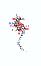 CCCCCC/C=C\CCCCCCCCCC(=O)NC1[C@H](O[C@H]2C(CO)O[C@H](OC3C(CO)O[C@@H](O[C@H]4C(CO)O[C@H](OC)[C@H](C)C4O)C(N)[C@H]3O)[C@H](C)C2O)OC(CO)C(O)[C@@H]1O